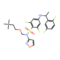 CC(Nc1cc(F)c(S(=O)(=O)N(COCC[Si](C)(C)C)c2ccon2)c(F)c1)c1cc(F)ccc1F